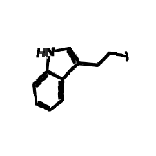 ICCc1c[nH]c2ccccc12